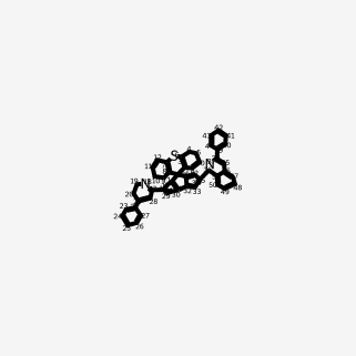 C1=CC2=C(CC1)SC1=C(CCC=C1)C21c2cc(C3=NCCC(c4ccccc4)=C3)ccc2-c2ccc(-c3nc(-c4ccccc4)cc4ccccc34)cc21